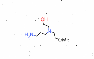 COCCN(CCO)CCCN